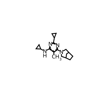 Cc1c(NC2CC2)nc(C2CC2)nc1N1CC2CCC(C2)C1